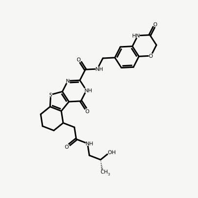 C[C@@H](O)CNC(=O)CC1CCCc2sc3nc(C(=O)NCc4ccc5c(c4)NC(=O)CO5)[nH]c(=O)c3c21